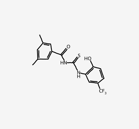 Cc1cc(C)cc(C(=O)NC(=S)Nc2cc(C(F)(F)F)ccc2O)c1